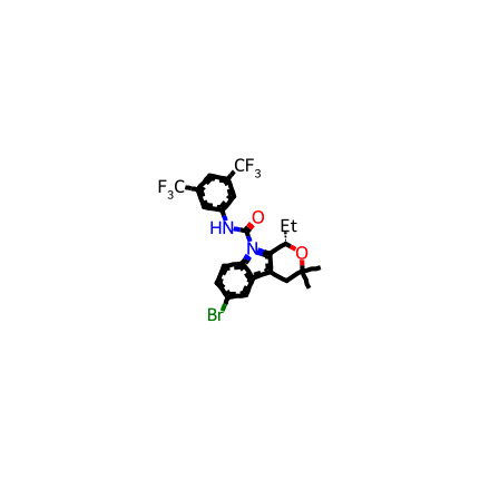 CC[C@@H]1OC(C)(C)Cc2c1n(C(=O)Nc1cc(C(F)(F)F)cc(C(F)(F)F)c1)c1ccc(Br)cc21